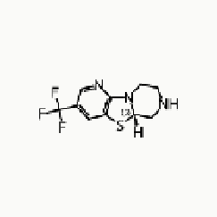 FC(F)(F)c1cnc2c(c1)S[C@H]1CNCCN21